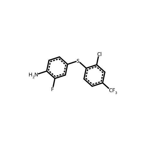 Nc1ccc(Sc2ccc(C(F)(F)F)cc2Cl)cc1F